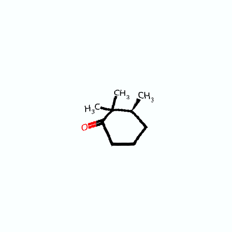 C[C@H]1CCCC(=O)C1(C)C